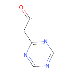 O=[C]Cc1ncncn1